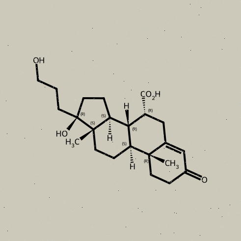 C[C@]12CCC(=O)C=C1C[C@@H](C(=O)O)[C@@H]1[C@@H]2CC[C@@]2(C)[C@H]1CC[C@@]2(O)CCCO